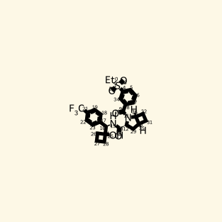 CCS(=O)(=O)c1cccc(C(=O)N2[C@@H](C(=O)N[C@@H](c3ccc(C(F)(F)F)cc3)C3(O)CCC3)C[C@H]3CC[C@H]32)c1